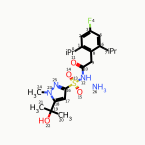 CC(C)c1cc(F)cc(C(C)C)c1CC(=O)NS(=O)(=O)c1cc(C(C)(C)O)n(C)n1.N